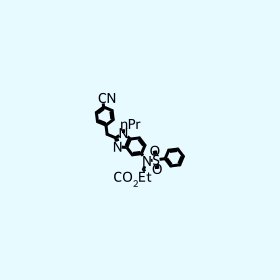 CCCn1c(Cc2ccc(C#N)cc2)nc2cc(N(CC(=O)OCC)S(=O)(=O)c3ccccc3)ccc21